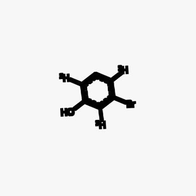 [2H]c1cc([2H])c(Br)c([2H])c1O